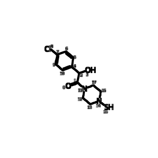 O=C(C(O)c1ccc(Cl)cc1)N1CCN(S)CC1